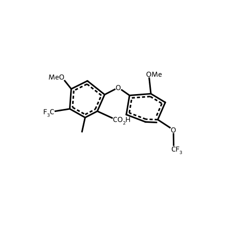 COc1cc(OC(F)(F)F)ccc1Oc1cc(OC)c(C(F)(F)F)c(C)c1C(=O)O